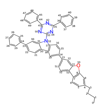 CCCCc1ccc2c(c1)oc1cc(-c3ccc4c(c3)c3ccc(-c5ccccc5)cc3n4-c3nc(-c4ccccc4)nc(-c4ccccc4)n3)ccc12